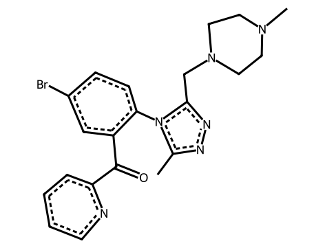 Cc1nnc(CN2CCN(C)CC2)n1-c1ccc(Br)cc1C(=O)c1ccccn1